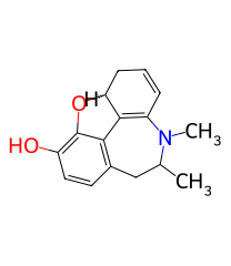 CC1Cc2ccc(O)c3c2C2=C(C=CC[C@@H]2O3)N1C